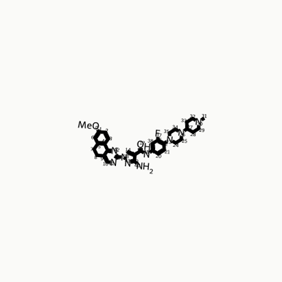 COc1ccc2c(c1)CCc1cnc(-n3cc(C(=O)Nc4ccc(N5CCN(C6CCN(C)CC6)CC5)c(F)c4)c(N)n3)nc1-2